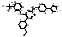 CCc1cccc(-c2cnc(Nc3ccc(-c4ccsc4)cn3)nc2Nc2cccc(C(F)(F)F)c2)c1